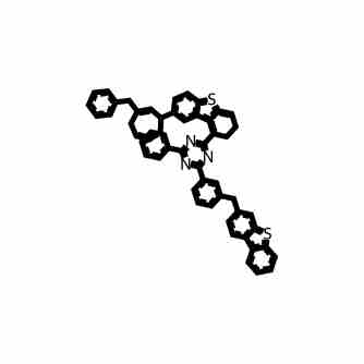 C1=CCC(c2ccc3sc4c(c3c2)=C(c2nc(-c3ccccc3)nc(-c3cccc(Cc5ccc6c(c5)sc5ccccc56)c3)n2)CCC=4)C=C(Cc2ccccc2)C1